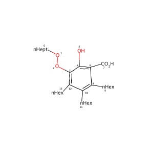 CCCCCCCOOc1c(O)c(C(=O)O)c(CCCCCC)c(CCCCCC)c1CCCCCC